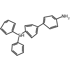 Nc1ccc(-c2ccc([SiH](c3ccccc3)c3ccccc3)cc2)cc1